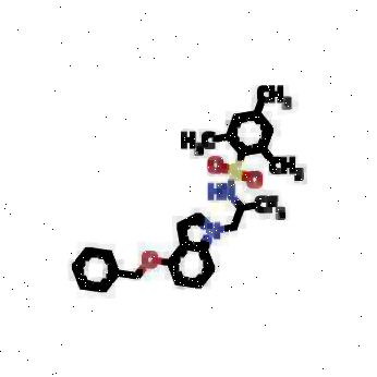 Cc1cc(C)c(S(=O)(=O)NC(Cn2ccc3c(OCc4ccccc4)cccc32)C(F)(F)F)c(C)c1